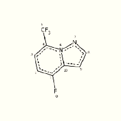 Fc1ccc(C(F)(F)F)n2nccc12